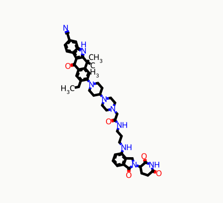 CCc1cc2c(cc1N1CCC(N3CCN(CC(=O)NCCCNc4cccc5c4CN(C4CCC(=O)NC4=O)C5=O)CC3)CC1)C(C)(C)c1[nH]c3cc(C#N)ccc3c1C2=O